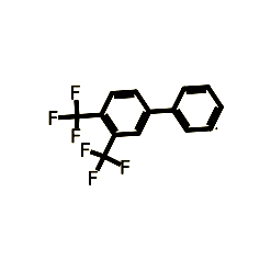 FC(F)(F)c1ccc(-c2c[c]ccc2)cc1C(F)(F)F